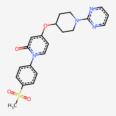 CS(=O)(=O)c1ccc(-n2ccc(OC3CCN(c4ncccn4)CC3)cc2=O)cc1